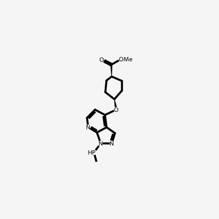 COC(=O)[C@H]1CC[C@@H](Oc2ccnc3c2cnn3PC)CC1